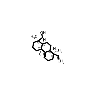 C=C[C@@]1(C)CCC=C2[C@H]1CC[C@@H]1[C@](C)(CO)CCC[C@@]21C